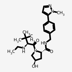 CCN[C@H](C(=O)N1C[C@H](O)C[C@H]1C(=O)NCc1ccc(-c2ccnn2C)cc1)C(C)(C)C